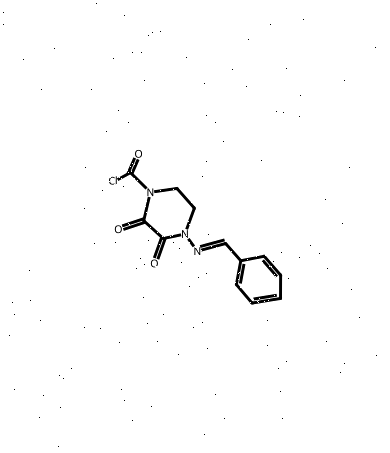 O=C1C(=O)N(C(=O)Cl)CCN1N=Cc1ccccc1